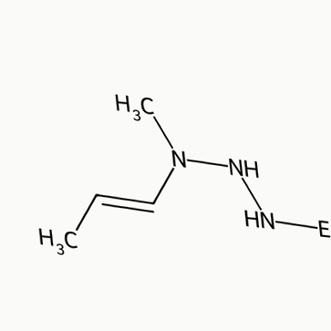 CC=CN(C)NNCC